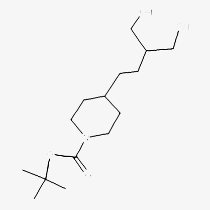 CC(C)(C)OC(=O)N1CCC(CCC(CO)CO)CC1